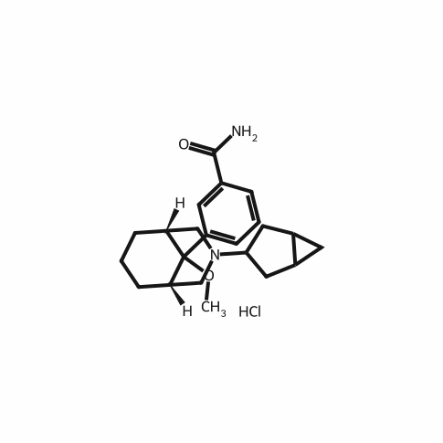 COC1(c2cccc(C(N)=O)c2)[C@@H]2CCC[C@H]1CN(C1CC3CC3C1)C2.Cl